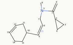 C=C(C1CC1)N(C)C/C=C\C1CC=CCC1